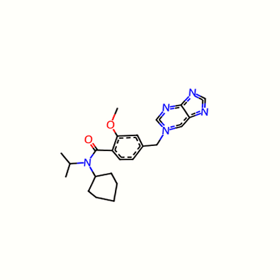 COc1cc(Cn2cnc3ncnc-3c2)ccc1C(=O)N(C(C)C)C1CCCCC1